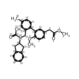 COC(=O)Cc1ccc(OC)c(-c2ccc(C)cc2CN(C(C)=O)C2Cc3ccccc3C2)c1